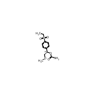 CCS(=O)(=O)c1ccc([C@H](COC)OC(N)=O)cc1